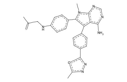 C=C(C)CNc1ccc(-c2c(-c3ccc(-c4nnc(C)o4)cc3)c3c(N)ncnc3n2C)cc1